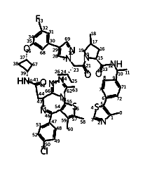 Cc1ncsc1-c1ccc(C(C)NC(=O)[C@@H]2CC(C)CN2C(=O)[C@H](C(C)C)n2cc(-c3cc(F)cc(O[C@H]4C[C@@H](NC(=O)C[C@@H]5N=C(c6ccc(Cl)cc6)c6c(sc(C)c6C)-n6c(C)nnc65)C4)c3)cn2)cc1